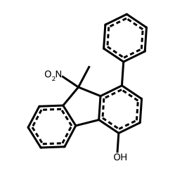 CC1([N+](=O)[O-])c2ccccc2-c2c(O)ccc(-c3ccccc3)c21